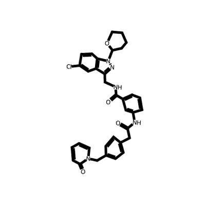 O=C(Cc1ccc(Cn2ccccc2=O)cc1)Nc1cccc(C(=O)NCc2nn(C3CCCCO3)c3ccc(Cl)cc23)c1